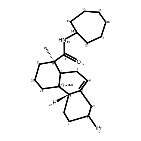 CC(C)C1CC[C@H]2C(=CCC3[C@](C)(C(=O)NC4CCCCCC4)CCC[C@@]32C)C1